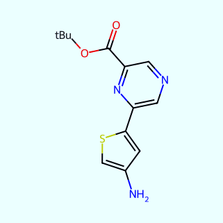 CC(C)(C)OC(=O)c1cncc(-c2cc(N)cs2)n1